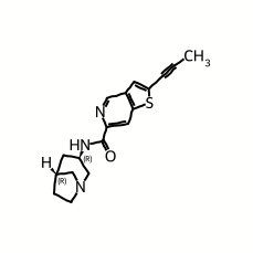 CC#Cc1cc2cnc(C(=O)N[C@@H]3C[C@H]4CCN(C4)C3)cc2s1